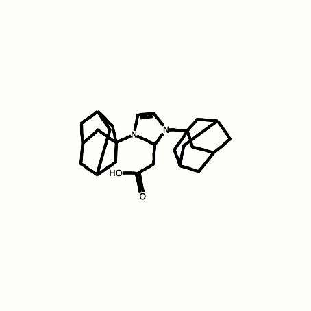 O=C(O)CC1N(C23CC4CC(CC(C4)C2)C3)C=CN1C12CC3CC(CC(C3)C1)C2